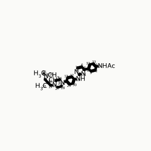 CC(=O)Nc1ccc(-c2ccnc(Nc3ccc(N4CCN(CC(C)(C)CN(C)C)CC4)cc3)n2)cc1